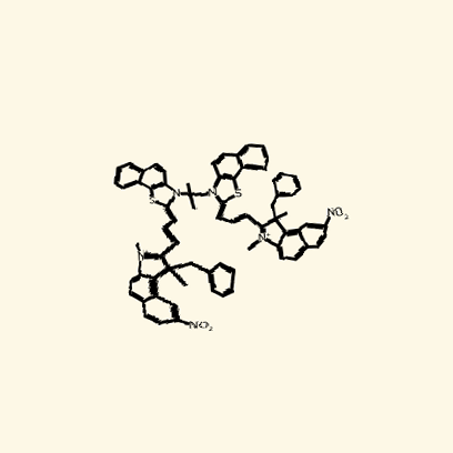 C[N+]1=C(/C=C/C=C2\Sc3c(ccc4ccccc34)N2C(C)(C)N2/C(=C/C=C/C3=[N+](C)c4ccc5ccc([N+](=O)[O-])cc5c4C3(C)Cc3ccccc3)Sc3c2ccc2ccccc32)C(C)(Cc2ccccc2)c2c1ccc1ccc([N+](=O)[O-])cc21